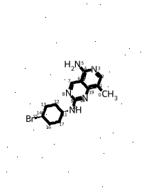 Cc1cnc(N)c2cnc(N[C@H]3CC[C@H](Br)CC3)nc12